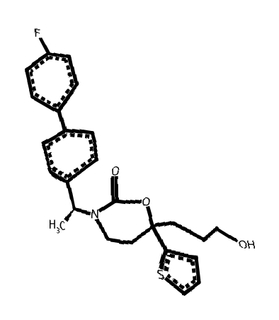 C[C@@H](c1ccc(-c2ccc(F)cc2)cc1)N1CCC(CCCO)(c2cccs2)OC1=O